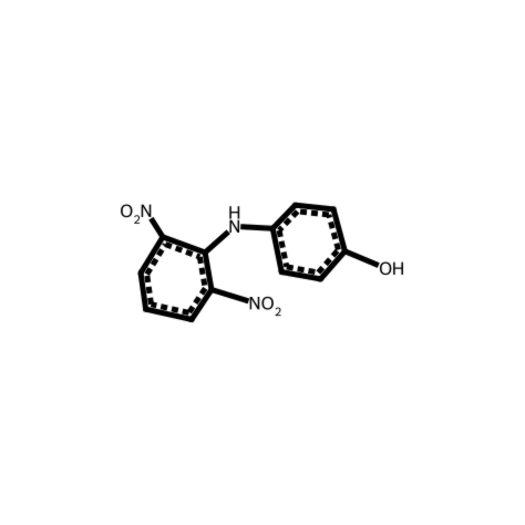 O=[N+]([O-])c1cccc([N+](=O)[O-])c1Nc1ccc(O)cc1